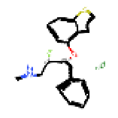 CNC[C@H](F)[C@H](Oc1cccc2sccc12)c1ccccc1.Cl